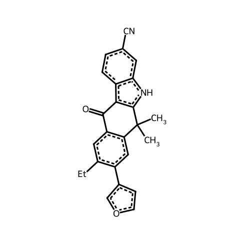 CCc1cc2c(cc1-c1ccoc1)C(C)(C)c1[nH]c3cc(C#N)ccc3c1C2=O